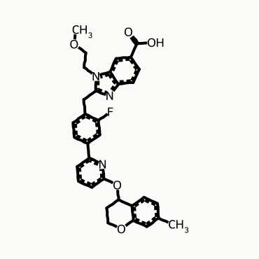 COCCn1c(Cc2ccc(-c3cccc(OC4CCOc5cc(C)ccc54)n3)cc2F)nc2ccc(C(=O)O)cc21